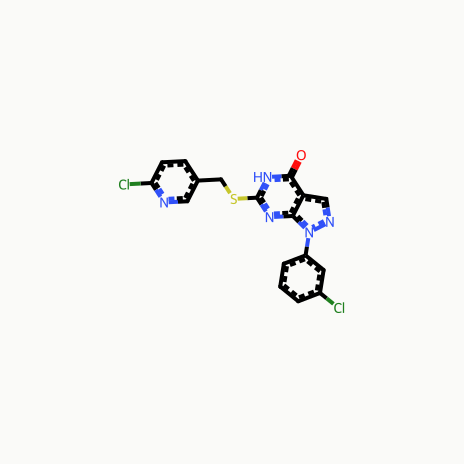 O=c1[nH]c(SCc2ccc(Cl)nc2)nc2c1cnn2-c1cccc(Cl)c1